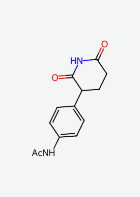 CC(=O)Nc1ccc(C2CCC(=O)NC2=O)cc1